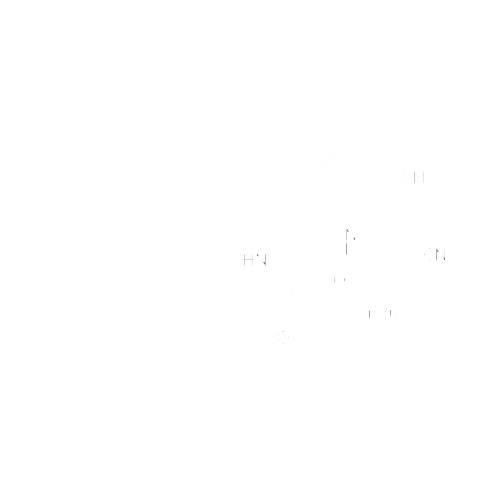 CCCCOC(=O)NC(Cc1ccc2ccccc2c1)C(=O)NC(C)C#N